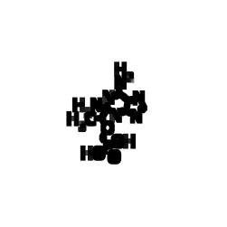 CC(OCP(=O)(O)O)C1(N)N=C(N)C2=NC=NC2=N1